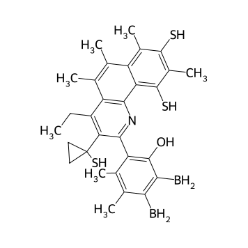 Bc1c(B)c(O)c(-c2nc3c(c(C)c(C)c4c(C)c(S)c(C)c(S)c43)c(CC)c2C2(S)CC2)c(C)c1C